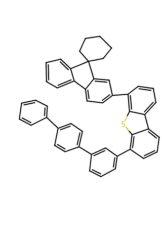 c1ccc(-c2ccc(-c3cccc(-c4cccc5c4sc4c(-c6ccc7c(c6)C6(CCCCC6)c6ccccc6-7)cccc45)c3)cc2)cc1